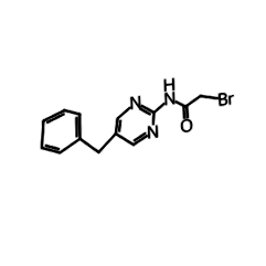 O=C(CBr)Nc1ncc(Cc2ccccc2)cn1